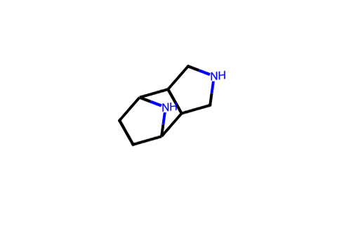 C1CC2NC1C1CNCC21